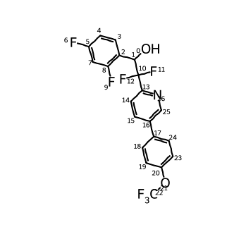 OC(c1ccc(F)cc1F)C(F)(F)c1ccc(-c2ccc(OC(F)(F)F)cc2)cn1